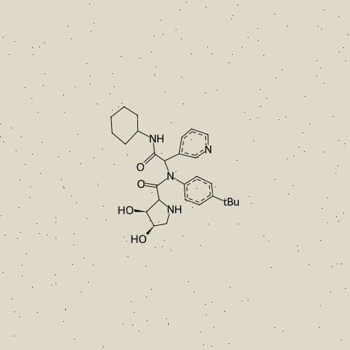 CC(C)(C)c1ccc(N(C(=O)C2NC[C@@H](O)[C@H]2O)C(C(=O)NC2CCCCC2)c2cccnc2)cc1